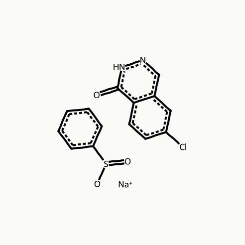 O=S([O-])c1ccccc1.O=c1[nH]ncc2cc(Cl)ccc12.[Na+]